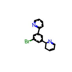 Brc1cc(-c2ccccn2)cc(C2CC=CC=N2)c1